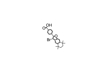 CC1(C)CCC(C)(C)c2cc3c(Br)c(-c4ccc(C(=O)O)cc4)oc3cc21